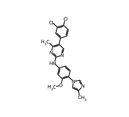 COc1cc(Nc2ncc(-c3ccc(Cl)c(Cl)c3)c(C)n2)ccc1-n1cnc(C)c1